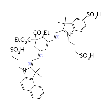 CCOC(=O)C1(C(=O)OCC)CC(/C=C/C2=[N+](CCCS(=O)(=O)O)c3ccc(S(=O)(=O)O)cc3C2(C)C)=CC(=C/C=C2/N(CCCS(=O)(=O)O)c3ccc4ccccc4c3C2(C)C)/C1